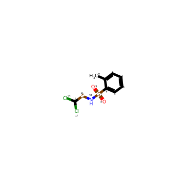 Cc1ccccc1S(=O)(=O)NSC(Cl)Cl